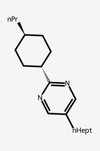 CCCCCCCc1cnc([C@H]2CC[C@H](CCC)CC2)nc1